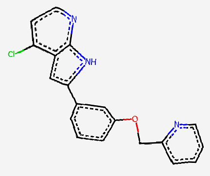 Clc1ccnc2[nH]c(-c3cccc(OCc4ccccn4)c3)cc12